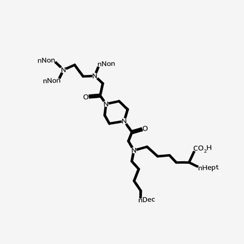 CCCCCCCCCCCCCCN(CCCCC(CCCCCCC)C(=O)O)CC(=O)N1CCN(C(=O)CN(CCCCCCCCC)CCN(CCCCCCCCC)CCCCCCCCC)CC1